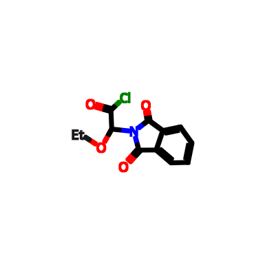 CCOC(C(=O)Cl)N1C(=O)c2ccccc2C1=O